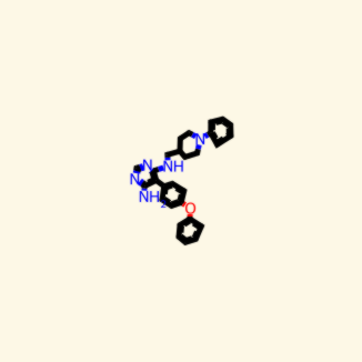 Nc1ncnc(NCC2CCN(c3ccccc3)CC2)c1-c1ccc(Oc2ccccc2)cc1